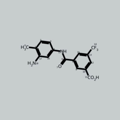 Cc1ccc(NC(=O)c2cc(C(=O)O)cc(C(F)(F)F)c2)cc1N